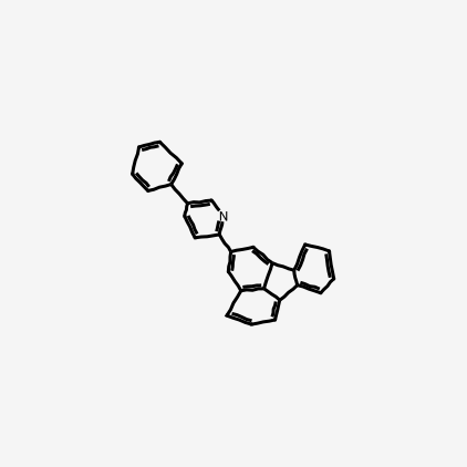 c1ccc(-c2ccc(-c3cc4c5c(cccc5c3)-c3ccccc3-4)nc2)cc1